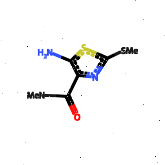 CNC(=O)c1nc(SC)sc1N